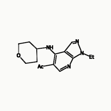 CCn1ncc2c(NC3CCOCC3)c(C(C)=O)cnc21